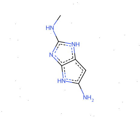 CNc1nc2[nH]c(N)cc2[nH]1